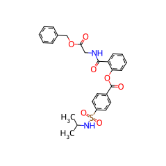 CC(C)NS(=O)(=O)c1ccc(C(=O)Oc2ccccc2C(=O)NCC(=O)OCc2ccccc2)cc1